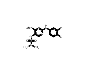 CNc1nc(Nc2ccc(Cl)c(Cl)c2)ncc1NS(=O)(=O)N(C)C